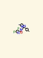 Cc1ccc(-c2nc3ccc(C)cn3c2CN(C)C(=O)c2ncc(F)cc2F)cc1